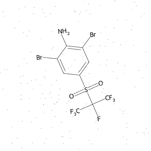 Nc1c(Br)cc(S(=O)(=O)C(F)(C(F)(F)F)C(F)(F)F)cc1Br